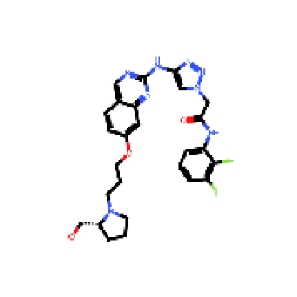 O=C(Cn1cc(Nc2ncc3ccc(OCCCN4CCC[C@@H]4CO)cc3n2)nn1)Nc1cccc(F)c1F